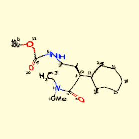 CON(C)C(=O)[C@@H](CCNC(=O)OC(C)(C)C)C1CCCCC1